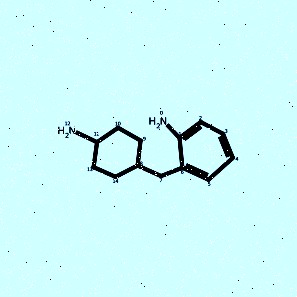 Nc1ccccc1CC1CCC(N)CC1